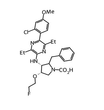 CCc1nc(-c2ccc(OC)cc2Cl)c(CC)nc1N[C@@H]1C(Cc2ccccc2)N(C(=O)O)C[C@@H]1OCCF